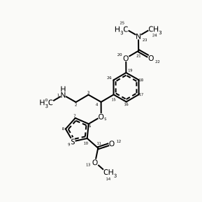 CNCCC(Oc1ccsc1C(=O)OC)c1cccc(OC(=O)N(C)C)c1